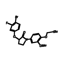 COc1cc(N2CCC(Oc3ccc(Br)c(F)c3)C2=O)ccc1OCC(C)(C)C